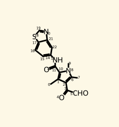 Cc1c(C(=O)C=O)c(C)n(C)c1C(=O)Nc1ccc2scnc2c1